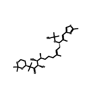 CCC[C@@H](C(=O)C(C)(C)[C@@H]1CCOC(C)(C)O1)[C@@H](O)[C@@H](C)CCCC(C)=CC[C@H](O[Si](C)(C)C(C)(C)C)/C(C)=C/c1csc(C)n1